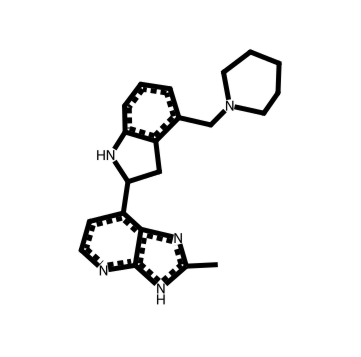 Cc1nc2c(C3Cc4c(CN5CCCCC5)cccc4N3)ccnc2[nH]1